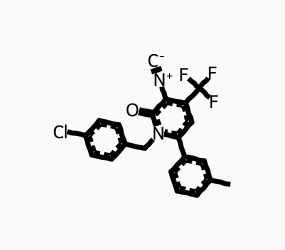 [C-]#[N+]c1c(C(F)(F)F)cc(-c2cccc(C)c2)n(Cc2ccc(Cl)cc2)c1=O